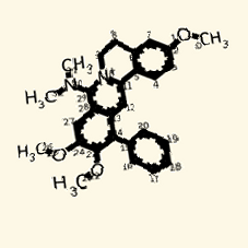 COc1ccc2c(c1)CC[n+]1c-2cc2c(-c3ccccc3)c(OC)c(OC)cc2c1N(C)C